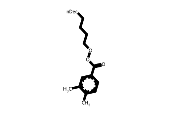 [CH2]CCCCCCCCCCCCCOOC(=O)c1ccc(C)c(C)c1